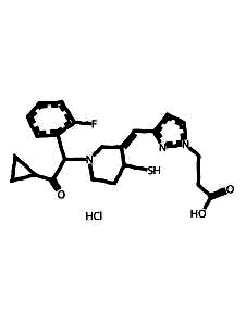 Cl.O=C(O)CCn1ccc(C=C2CN(C(C(=O)C3CC3)c3ccccc3F)CCC2S)n1